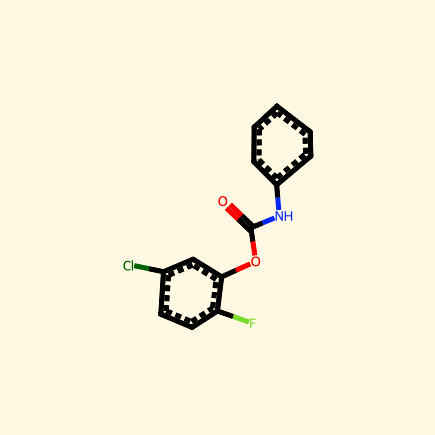 O=C(Nc1ccccc1)Oc1cc(Cl)ccc1F